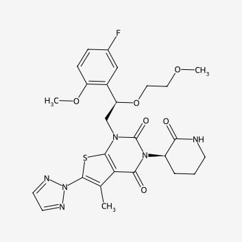 COCCO[C@@H](Cn1c(=O)n([C@@H]2CCCNC2=O)c(=O)c2c(C)c(-n3nccn3)sc21)c1cc(F)ccc1OC